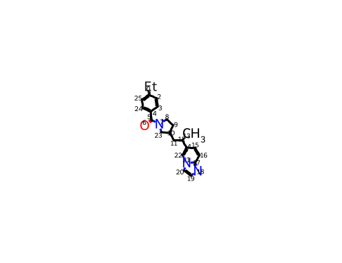 CCc1ccc(C(=O)N2CCC(CC(C)c3ccc4nccn4c3)C2)cc1